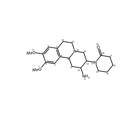 COc1cc2c(cc1OC)C1CC(N)C(N3CCCCC3=O)CN1CC2